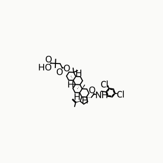 C=C(C)[C@@H]1CC[C@]2(CC(=O)NCc3ccc(Cl)cc3Cl)CC[C@]3(C)[C@H](CC[C@@H]4[C@@]5(C)CC[C@H](OC(=O)CC(C)(C)C(=O)O)C(C)(C)[C@@H]5CC[C@]43C)[C@@H]12